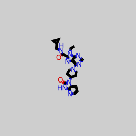 CCn1c(C(=O)NCC2CC2)nc2c(N3CCC(n4c(=O)[nH]c5ncccc54)CC3)ncnc21